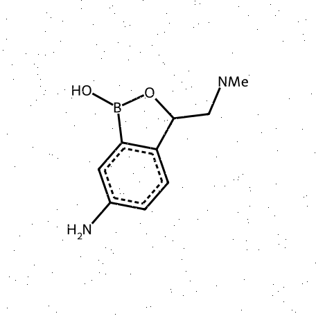 CNCC1OB(O)c2cc(N)ccc21